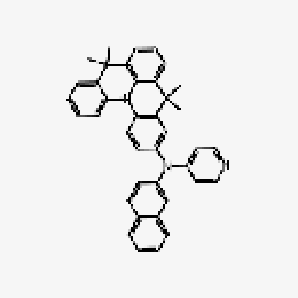 CC1(C)c2ccccc2N2c3ccc(N(c4ccncc4)c4ccc5ccccc5c4)cc3C(C)(C)c3cccc1c32